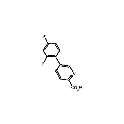 O=C(O)c1ccc(-c2ccc(F)cc2F)cn1